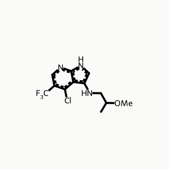 COC(C)CNc1c[nH]c2ncc(C(F)(F)F)c(Cl)c12